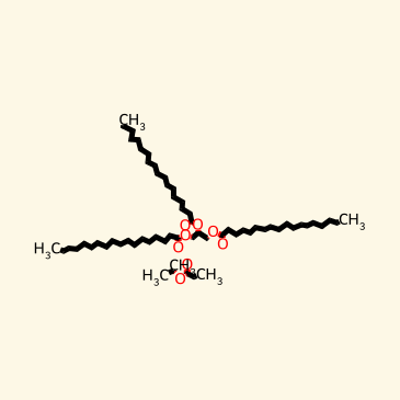 CCC(=O)OC(C)C.CCCCCCCCCCCCCCCCCC(=O)OCC(COC(=O)CCCCCCCCCCCCCCCCC)OC(=O)CCCCCCCCCCCCCCCCC